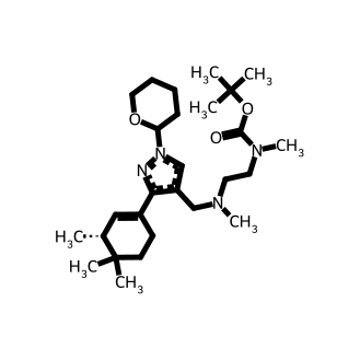 C[C@@H]1C=C(c2nn(C3CCCCO3)cc2CN(C)CCN(C)C(=O)OC(C)(C)C)CCC1(C)C